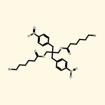 O=C(CCCCCBr)OCC(COC(=O)CCCCCBr)(Cc1ccc([N+](=O)[O-])cc1)Cc1ccc([N+](=O)[O-])cc1